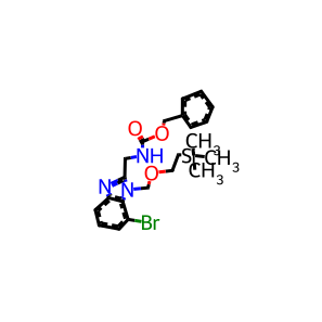 C[Si](C)(C)CCOCn1c(CNC(=O)OCc2ccccc2)nc2cccc(Br)c21